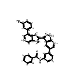 O=C(Nc1cncc(-c2cnc3[nH]nc(-c4nc5c(-c6cccc(F)c6)cncc5[nH]4)c3c2)c1)c1ccccc1